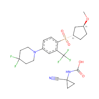 CO[C@H]1CC[C@H](S(=O)(=O)c2ccc(N3CCC(F)(F)CC3)cc2C(F)(F)F)C1.N#CC1(NC(=O)O)CC1